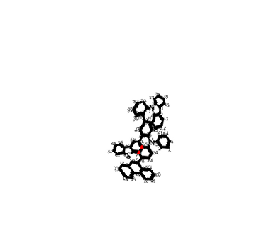 c1ccc(N(c2ccc(-c3cc4ccccc4c4ccccc34)cc2)c2ccc(-c3ccccc3-n3c4ccccc4c4ccccc43)cc2-c2ccc3sc4ccccc4c3c2)cc1